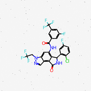 O=C(Nc1cc2c(cnn2CC(F)(F)F)c2c1C(c1cc(F)ccc1Cl)NC2=O)c1cc(F)cc(C(F)(F)F)c1